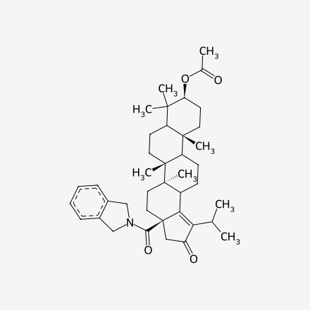 CC(=O)O[C@H]1CC[C@@]2(C)C(CC[C@]3(C)C2CCC2C4=C(C(C)C)C(=O)C[C@]4(C(=O)N4Cc5ccccc5C4)CC[C@]23C)C1(C)C